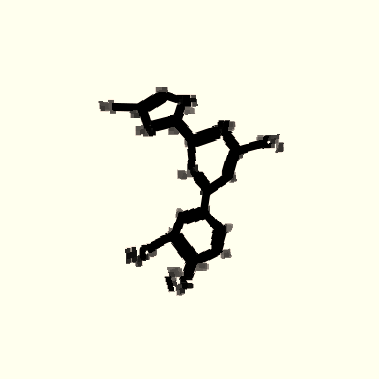 Cc1cc(-c2cc(C(F)(F)F)nc(-c3nc(I)c[nH]3)n2)ccc1C(F)(F)F